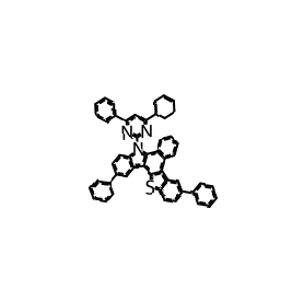 C1=CCCC(c2cc(-c3ccccc3)nc(-n3c4ccc(-c5ccccc5)cc4c4c5sc6ccc(-c7ccccc7)cc6c5c5ccccc5c43)n2)=C1